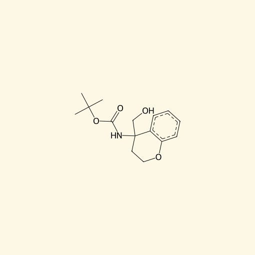 CC(C)(C)OC(=O)NC1(CO)CCOc2ccccc21